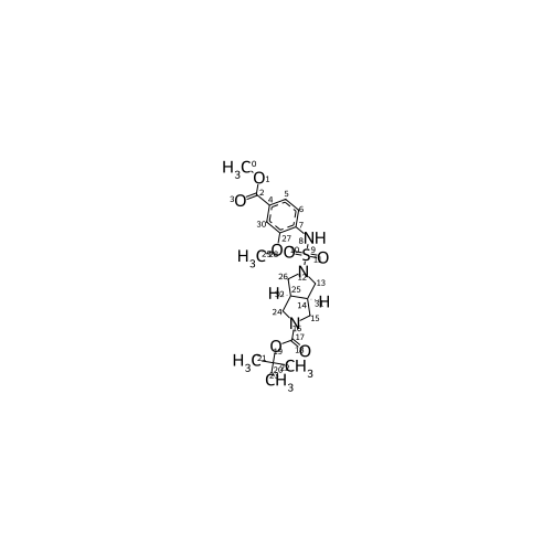 COC(=O)c1ccc(NS(=O)(=O)N2C[C@H]3CN(C(=O)OC(C)(C)C)C[C@H]3C2)c(OC)c1